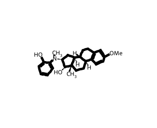 COc1ccc2c(c1)CC[C@@H]1[C@@H]2CC[C@]2(C)[C@H](O)[C@H](N(C)c3ccccc3O)C[C@@H]12